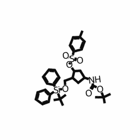 Cc1ccc(S(=O)(=O)OC2CC(NC(=O)OC(C)(C)C)CC2CO[Si](c2ccccc2)(c2ccccc2)C(C)(C)C)cc1